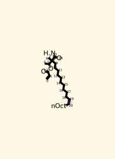 C=CC(=O)OC(C)C(C)(CCCCCCCCCC/C=C\CCCCCCCC)C(N)=O